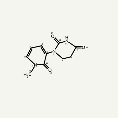 Cn1cccc(N2CCC(=O)NC2=O)c1=O